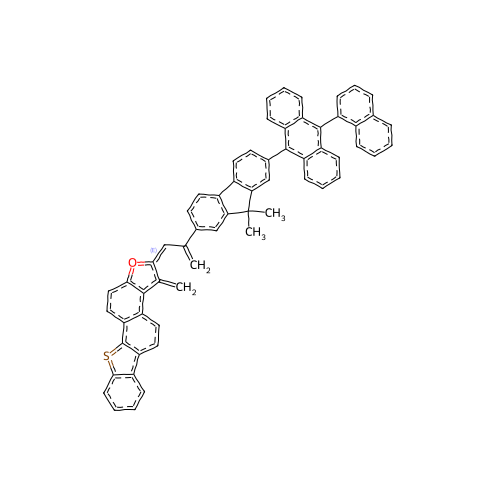 C=C(/C=c1/oc2ccc3c(ccc4c5ccccc5sc43)c2c1=C)c1ccc2c(c1)C(C)(C)c1cc(-c3c4ccccc4c(-c4cccc5ccccc45)c4ccccc34)ccc1-2